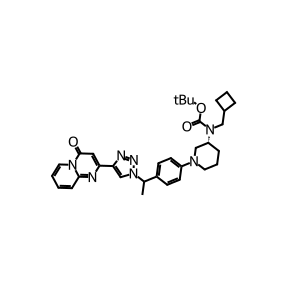 CC(c1ccc(N2CCC[C@@H](N(CC3CCC3)C(=O)OC(C)(C)C)C2)cc1)n1cc(-c2cc(=O)n3ccccc3n2)nn1